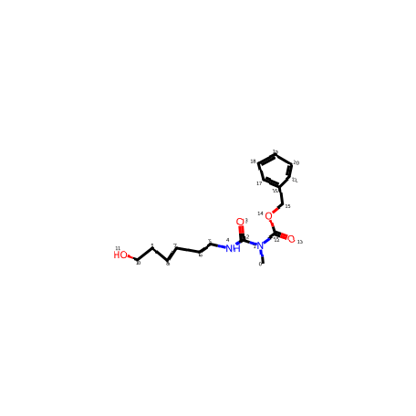 CN(C(=O)NCCCCCCO)C(=O)OCc1ccccc1